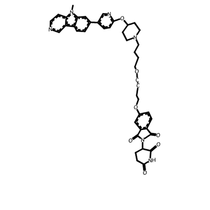 Cn1c2ccncc2c2ccc(-c3ccc(OC4CCN(CCCCOCCCCOc5ccc6c(c5)C(=O)N(C5CCC(=O)NC5=O)C6=O)CC4)nc3)cc21